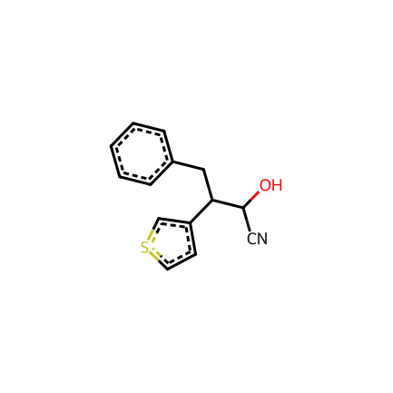 N#CC(O)C(Cc1ccccc1)c1ccsc1